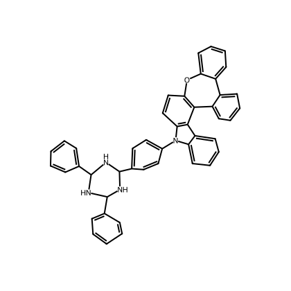 c1ccc(C2NC(c3ccccc3)NC(c3ccc(-n4c5ccccc5c5c6c(ccc54)Oc4ccccc4-c4ccccc4-6)cc3)N2)cc1